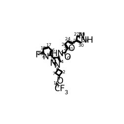 O=C(Nc1cn([C@H]2C[C@H](OCC(F)(F)F)C2)nc1-c1cccc(F)n1)c1ccc(-c2cn[nH]c2)o1